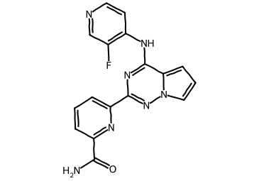 NC(=O)c1cccc(-c2nc(Nc3ccncc3F)c3cccn3n2)n1